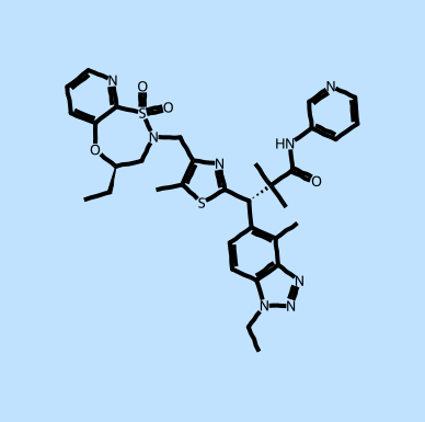 CC[C@@H]1CN(Cc2nc([C@@H](c3ccc4c(nnn4CC)c3C)C(C)(C)C(=O)Nc3cccnc3)sc2C)S(=O)(=O)c2ncccc2O1